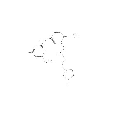 CNc1cc(C)nc(NC2=CC(CNCCN3CC[C@H](F)C3)C(OC)C=C2)n1